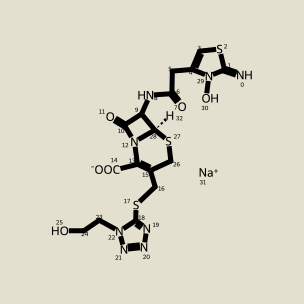 N=c1scc(CC(=O)NC2C(=O)N3C(C(=O)[O-])=C(CSc4nnnn4CCO)CS[C@H]23)n1O.[Na+]